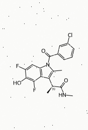 CNC(=O)[C@@H](C)c1c(C)n(C(=O)c2cccc(Cl)c2)c2cc(F)c(O)c(F)c12